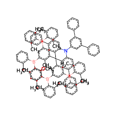 Cc1ccccc1B(c1cc(B(c2c(C)cccc2C)c2c(C)cccc2C)cc2c1C(=O)c1c(B(c3c(C)cccc3C)c3c(C)cccc3C)cc(B(c3c(C)cccc3C)c3c(C)cccc3C)cc1C21c2cc(-c3ccccc3)ccc2N(c2cc(-c3ccccc3)cc(-c3ccccc3)c2)c2ccc(-c3ccccc3)cc21)c1c(C)cccc1C